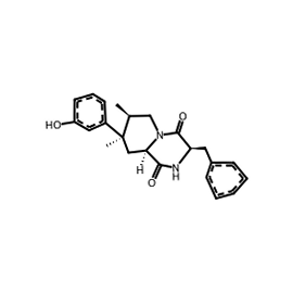 C[C@H]1CN2C(=O)[C@@H](Cc3ccccc3)NC(=O)[C@H]2C[C@@]1(C)c1cccc(O)c1